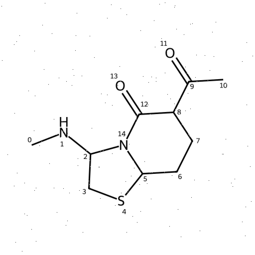 CNC1CSC2CCC(C(C)=O)C(=O)N12